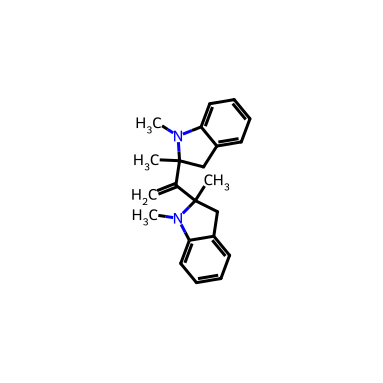 C=C(C1(C)Cc2ccccc2N1C)C1(C)Cc2ccccc2N1C